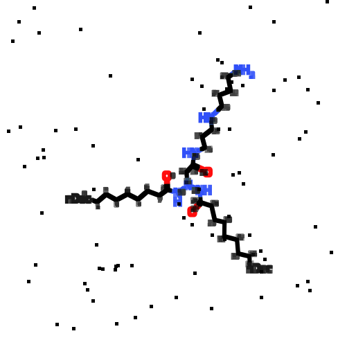 CCCCCCCCCCCCCCCCCC(=O)NN(CC(=O)NCCCNCCCCN)NC(=O)CCCCCCCCCCCCCCCCC